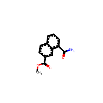 COC(=O)c1ccc2cccc(C(N)=O)c2c1